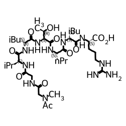 CCC[C@H](NC(=O)[C@@H](NC(=O)[C@H](NC(=O)[C@@H](NC(=O)CNC(=O)CN(C)C(C)=O)C(C)C)[C@@H](C)CC)[C@@H](C)O)C(=O)N[C@H](C(=O)N[C@@H](CCCNC(=N)N)C(=O)O)[C@@H](C)CC